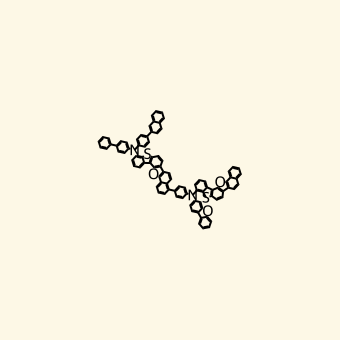 c1ccc(-c2ccc(N(c3ccc(-c4ccc5ccccc5c4)cc3)c3cccc4c3sc3ccc5c6ccc7c(-c8ccc(N(c9ccc%10c(c9)oc9ccccc9%10)c9cccc%10c9sc9ccc%11c%12ccc%13ccccc%13c%12oc%11c9%10)cc8)cccc7c6oc5c34)cc2)cc1